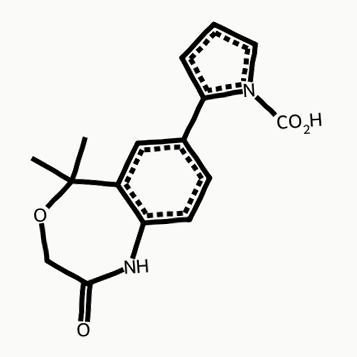 CC1(C)OCC(=O)Nc2ccc(-c3cccn3C(=O)O)cc21